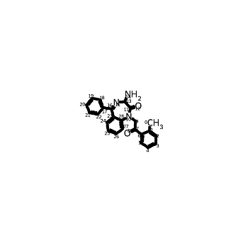 Cc1ccccc1C(=O)CN1C(=O)C(N)N=C(c2ccccc2)c2ccccc21